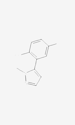 Cn1nccc1-c1cc(O)ccc1C=O